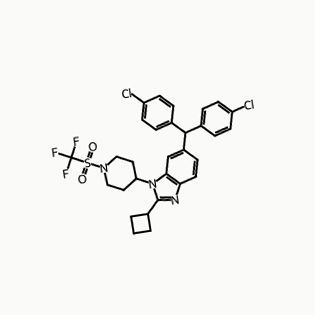 O=S(=O)(N1CCC(n2c(C3CCC3)nc3ccc(C(c4ccc(Cl)cc4)c4ccc(Cl)cc4)cc32)CC1)C(F)(F)F